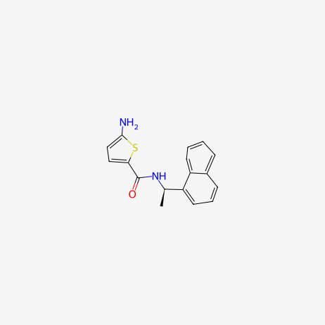 C[C@@H](NC(=O)c1ccc(N)s1)c1cccc2ccccc12